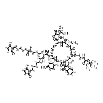 CC[C@@H]1NC(=O)[C@H](CCCCNC(=O)OC(C)(C)C)NC(=O)[C@@H](Cc2c[nH]c3ccccc23)NC(=O)[C@H](Cc2ccc(O)cc2)NC(=O)[C@@H](NC(O)[C@@H](CCCCNC(=O)CCCCCN2C(=O)C=CC2=O)NC(=O)CCCCCN2C(=O)C=CC2=O)CSSC[C@@H](C(=O)N[C@H](C(N)=O)[C@@H](C)O)NC1=O